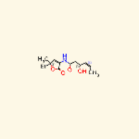 C/C=C\[C@H](O)CC(=O)NC1=C[C@](C)(CC)OC1=O